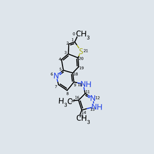 Cc1cc2cc3nccc(Nc4n[nH]c(C)c4C)c3cc2s1